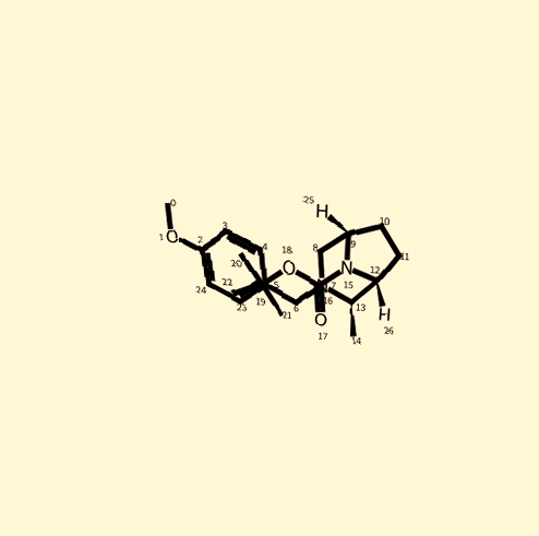 COc1ccc(CN2C[C@@H]3CC[C@H]([C@H]2C)N3C(=O)OC(C)(C)C)cc1